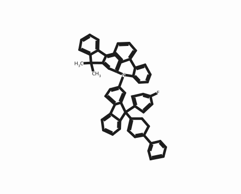 CC1(C)c2ccccc2-c2ccc(N(c3ccc4c(c3)C(C3=CC=C(c5ccccc5)CC3)(c3ccc(F)cc3)c3ccccc3-4)c3ccccc3-c3ccccc3)cc21